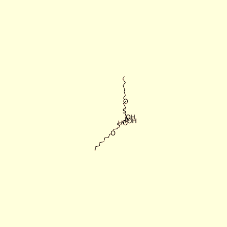 CCCCCCCCOCCSCCP(O)(O)(O)CCSCCOCCCCCCCC